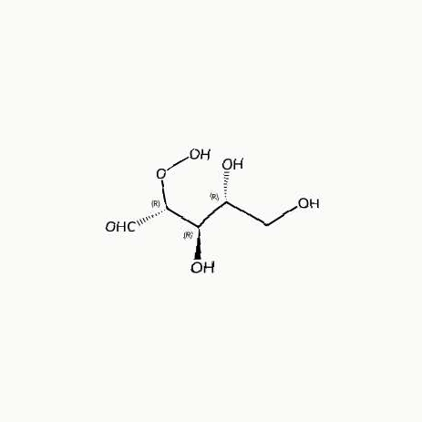 O=C[C@H](OO)[C@H](O)[C@H](O)CO